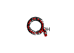 OC1CN(C2CCCCCCCCCCCCCCCCCCCCCCCCCCCCCCCCCCCCCCCCCCCCCCCCC3(CC2)OCCO3)CCc2cc(OCc3ccccc3)ccc21